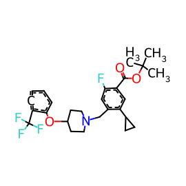 CC(C)(C)OC(=O)c1cc(C2CC2)c(CN2CCC(Oc3ccccc3C(F)(F)F)CC2)cc1F